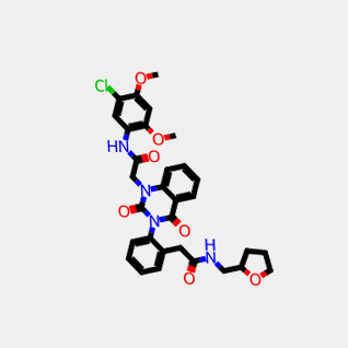 COc1cc(OC)c(NC(=O)Cn2c(=O)n(-c3ccccc3CC(=O)NCC3CCCO3)c(=O)c3ccccc32)cc1Cl